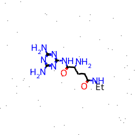 CCNC(=O)CC[C@H](N)C(=O)Nc1nc(N)nc(N)n1